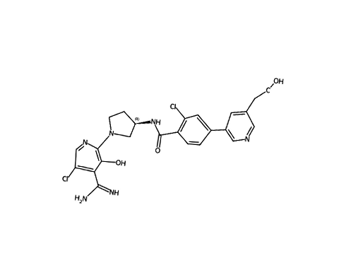 N=C(N)c1c(Cl)cnc(N2CC[C@@H](NC(=O)c3ccc(-c4cncc(CCO)c4)cc3Cl)C2)c1O